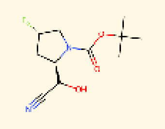 CC(C)(C)OC(=O)N1C[C@@H](F)C[C@@H]1C(O)C#N